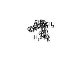 CNC(=O)c1c(-c2ccc(F)cc2)oc2cc(N(CC(F)F)S(C)(=O)=O)c(-c3ccc(OC)c(-c4nc5c(s4)COCC5)c3)cc12